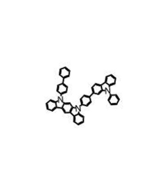 c1ccc(-c2ccc(-n3c4ccccc4c4cc5c6ccccc6n(-c6ccc(-c7ccc8c9ccccc9n(-c9ccccc9)c8c7)cc6)c5cc43)cc2)cc1